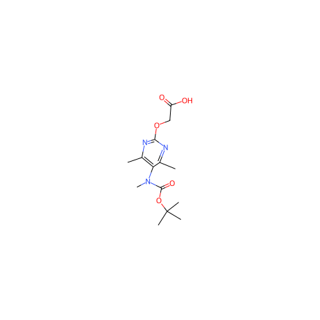 Cc1nc(OCC(=O)O)nc(C)c1N(C)C(=O)OC(C)(C)C